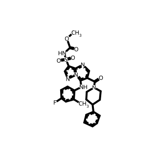 COC(=O)NS(=O)(=O)c1cnn2c(Nc3ccc(F)cc3C)c(C(=O)N3CCC(c4ccccc4)CC3)cnc12